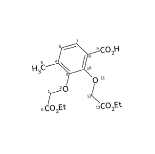 CCOC(=O)COc1c(C)ccc(C(=O)O)c1OCC(=O)OCC